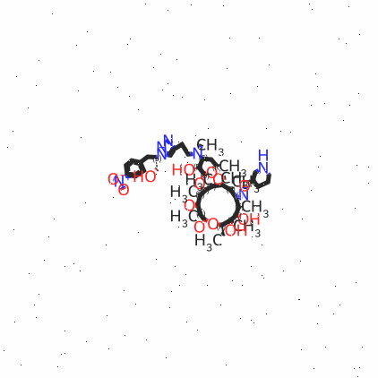 CC[C@H]1OC(=O)[C@H](C)C(=O)[C@H](C)[C@@H](O[C@@H]2O[C@H](C)C[C@H](N(C)CCc3cn([C@H](CO)Cc4ccc([N+](=O)[O-])cc4)nn3)[C@H]2O)[C@](C)(OC)C[C@@H](C)/C(=N\O[C@@H]2CCCNC2)[C@H](C)[C@@H](O)[C@]1(C)O